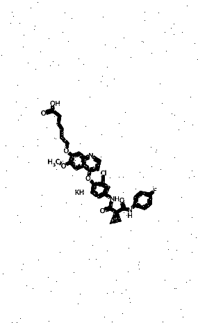 COc1cc2c(Oc3ccc(NC(=O)C4(C(=O)Nc5ccc(F)cc5)CC4)cc3Cl)ccnc2cc1OCCCCCC(=O)O.[KH]